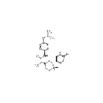 CC(C)Oc1ccc(NC(=O)C(C)N2CCC(F)(F)[C@@H](c3ccc(=O)[nH]c3)C2)nc1